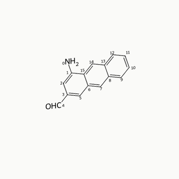 Nc1cc(C=O)cc2cc3ccccc3cc12